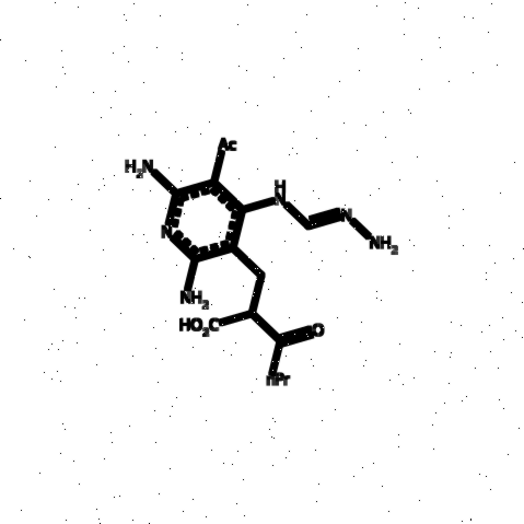 CCCC(=O)C(Cc1c(N)nc(N)c(C(C)=O)c1NC=NN)C(=O)O